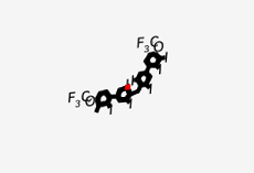 Cc1c(OC(F)(F)F)ccc(-c2cc(I)c(Cc3c(I)cc(-c4ccc(OC(F)(F)F)c(I)c4I)cc3I)c(I)c2)c1I